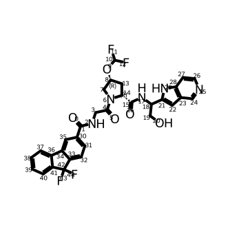 O=C(NCC(=O)N1C[C@H](OC(F)F)C[C@@H]1C(=O)NC(CO)c1cc2cnccc2[nH]1)c1ccc2c(c1)-c1ccccc1C2(F)F